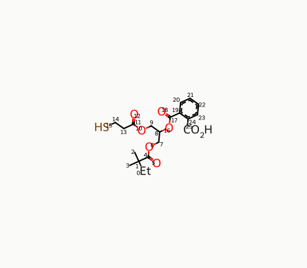 CCC(C)(C)C(=O)OCC(COC(=O)CCS)OC(=O)c1ccccc1C(=O)O